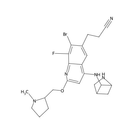 CN1CCCC1COc1cc(NC2C3CNC2C3)c2cc(CCC#N)c(Br)c(F)c2n1